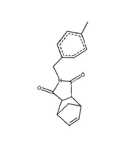 Cc1ccc(CN2C(=O)C3C4C=CC(C4)C3C2=O)cc1